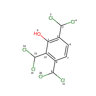 Oc1c(C(Cl)Cl)ccc(C(Cl)Cl)c1C(Cl)Cl